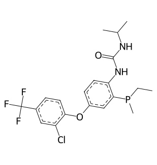 CCP(C)c1cc(Oc2ccc(C(F)(F)F)cc2Cl)ccc1NC(=O)NC(C)C